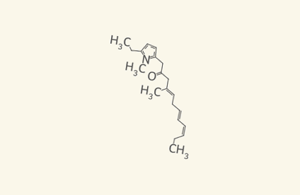 CC/C=C\C=CC/C=C(\C)CC(=O)Cc1ccc(CC)n1C